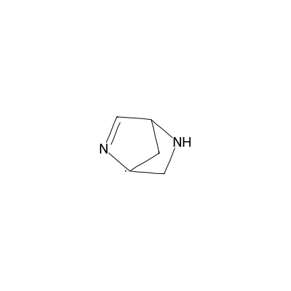 C1=N[C]2CNC1C2